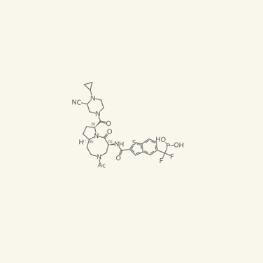 CC(=O)N1CC[C@H]2CC[C@@H](C(=O)N3CCN(C4CC4)C(C#N)C3)N2C(=O)[C@@H](NC(=O)c2cc3cc(C(F)(F)P(O)O)ccc3s2)C1